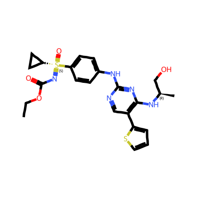 CCOC(=O)N=[S@@](=O)(c1ccc(Nc2ncc(-c3cccs3)c(N[C@H](C)CO)n2)cc1)C1CC1